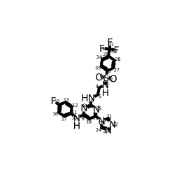 O=S(=O)(NCCNc1nc(Nc2ccc(F)cc2)cc(-n2cnnc2)n1)c1ccc(C(F)(F)F)cc1